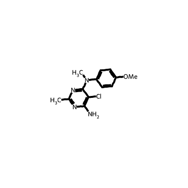 COc1ccc(N(C)c2nc(C)nc(N)c2Cl)cc1